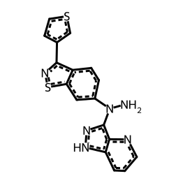 NN(c1ccc2c(-c3ccsc3)nsc2c1)c1n[nH]c2cccnc12